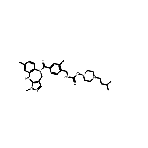 Cc1ccc2c(c1)Nc1c(cnn1C)CN2C(=O)c1ccc(CNC(=O)ON2CCN(CCC(C)C)CC2)c(C)c1